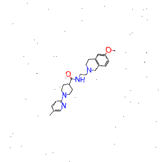 COc1ccc2c(c1)CCN(CCNC(=O)C1CCN(c3ccc(C)cn3)CC1)C2